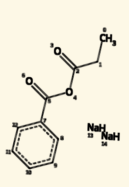 CCC(=O)OC(=O)c1ccccc1.[NaH].[NaH]